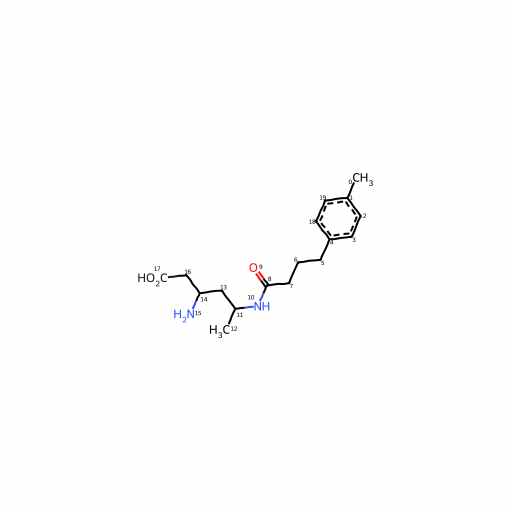 Cc1ccc(CCCC(=O)NC(C)CC(N)CC(=O)O)cc1